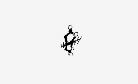 O=C1C[C@H]2CC(=O)O[C@H]2O1